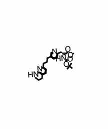 COC(=O)[C@H](Cc1ccc(CCCc2ccc3c(n2)NCCC3)cn1)NC(=O)OC(C)(C)C